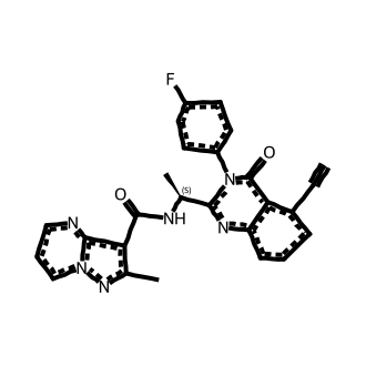 C#Cc1cccc2nc([C@H](C)NC(=O)c3c(C)nn4cccnc34)n(-c3ccc(F)cc3)c(=O)c12